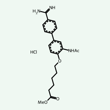 COC(=O)CCCCCOc1ccc(-c2ccc(C(=N)N)cc2)cc1NC(C)=O.Cl